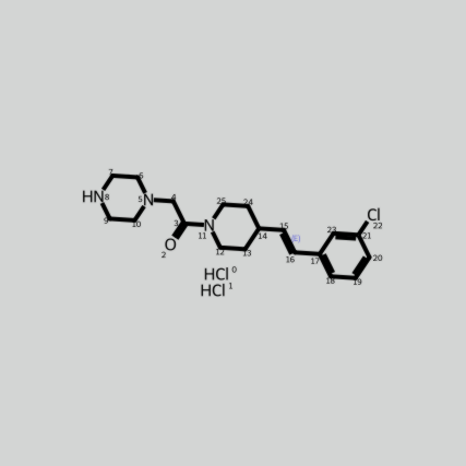 Cl.Cl.O=C(CN1CCNCC1)N1CCC(/C=C/c2cccc(Cl)c2)CC1